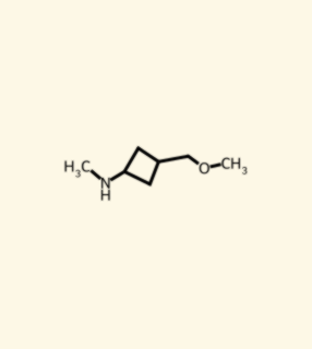 CNC1CC(COC)C1